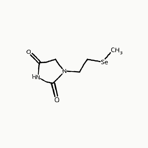 C[Se]CCN1CC(=O)NC1=O